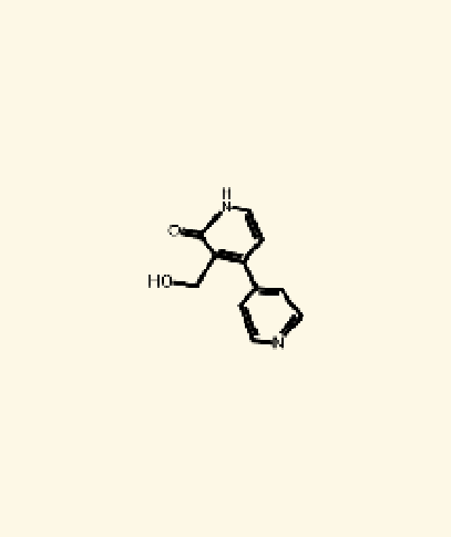 O=c1[nH]ccc(-c2ccncc2)c1CO